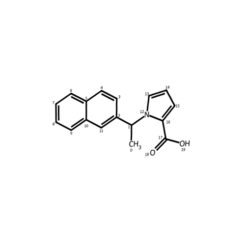 CC(c1ccc2ccccc2c1)n1cccc1C(=O)O